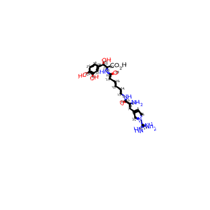 N=C(N)N1CC=C(CC(N)C(=O)NCCCCCC(=O)NC(C(=O)O)C(O)c2ccc(O)c(O)c2)C1